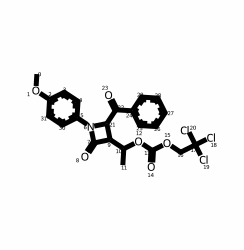 COc1ccc(N2C(=O)C(C(C)OC(=O)OCC(Cl)(Cl)Cl)C2C(=O)c2ccccc2)cc1